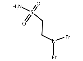 CCN(CCS(N)(=O)=O)C(C)C